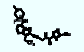 CN1CC[C@@H](Nc2cccc3c(CC(F)(F)F)c(C#CCNC(=O)c4cnc(C(C)(C)C)s4)nn23)[C@@H](F)C1